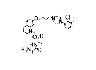 Cc1cccc(N2CCN(CCCCOc3ccc4c(c3)N(COC(=O)C(C)NC(=O)C(C)N)CCC4)CC2)c1Cl